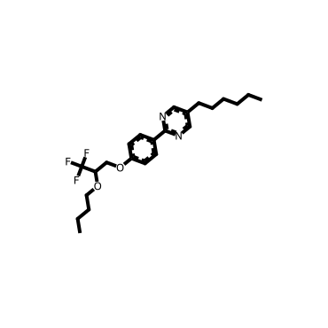 CCCCCCc1cnc(-c2ccc(OCC(OCCCC)C(F)(F)F)cc2)nc1